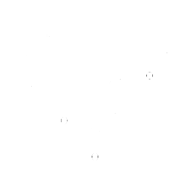 C1=CCOC=C1.O=c1ccc2ccccc2o1